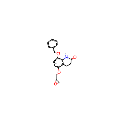 CN1C(=O)CCc2c(OCC3CO3)ccc(OCc3ccccc3)c21